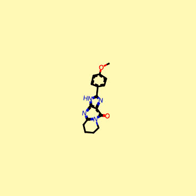 COc1ccc(-c2nc3c(=O)n4c(nc3[nH]2)CCCC4)cc1